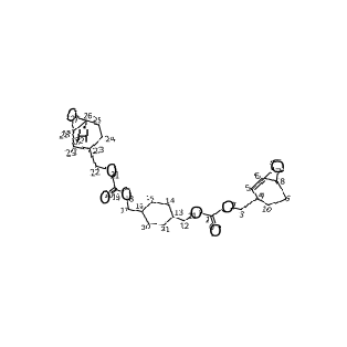 O=C(OCC1C=C2OC2CC1)OCC1CCC(COC(=O)OCC2CC[C@H]3OC3C2)CC1